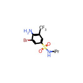 CC(C)NS(=O)(=O)c1cc(Br)c(N)c(C(F)(F)F)c1